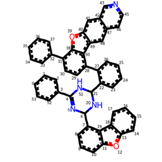 c1ccc(C2=NC(c3cccc4oc5ccccc5c34)NC(c3ccccc3-c3ccc(-c4ccccc4)c4oc5cc6cnccc6cc5c34)N2)cc1